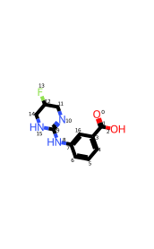 O=C(O)c1cccc(NC2=NCC(F)CN2)c1